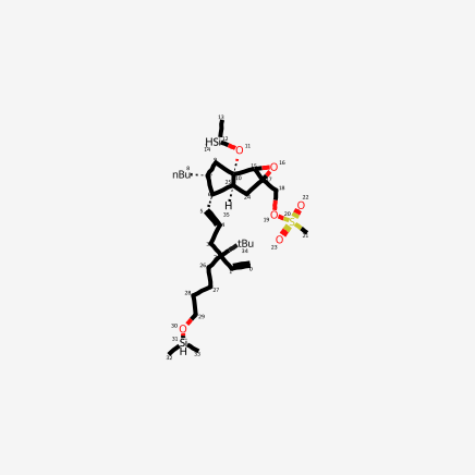 C=CC(CC=C[C@@H]1[C@H](CCCC)C[C@@]2(O[SiH](C)C)C3OC3(COS(C)(=O)=O)C[C@@H]12)(CCCCO[SiH](C)C)C(C)(C)C